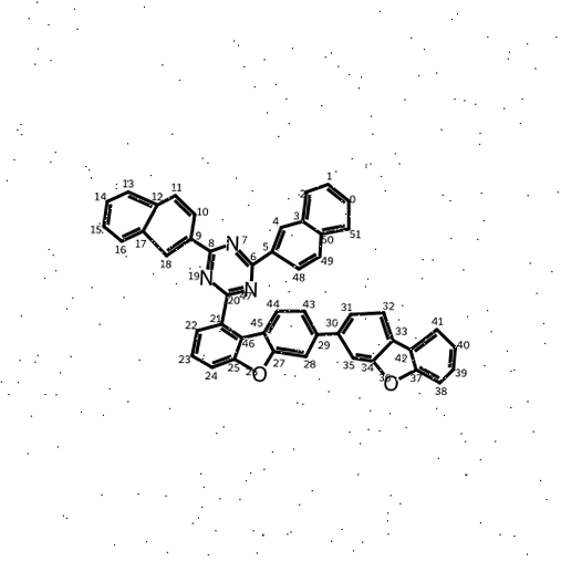 c1ccc2cc(-c3nc(-c4ccc5ccccc5c4)nc(-c4cccc5oc6cc(-c7ccc8c(c7)oc7ccccc78)ccc6c45)n3)ccc2c1